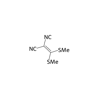 [C-]#[N+]C(C#N)=C(SC)SC